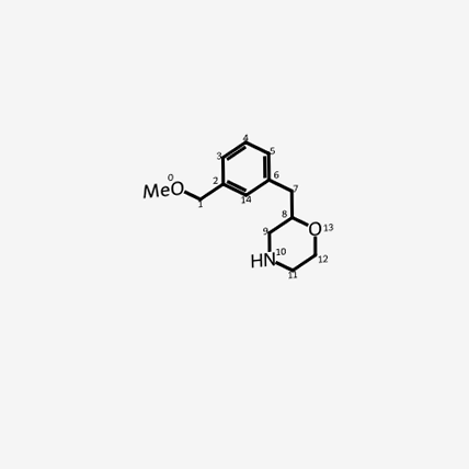 COCc1cccc(CC2CNCCO2)c1